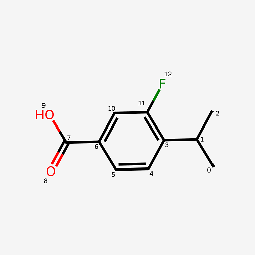 CC(C)c1ccc(C(=O)O)cc1F